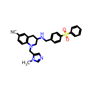 Cn1cncc1CN1CC(NCc2ccc(S(=O)(=O)c3ccccc3)cc2)Cc2cc(C#N)ccc21